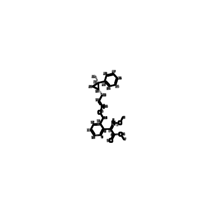 CON=C(C(=O)OC)c1ccccc1CON=CC[C@@H]1C[C@@]1(C)c1ccccc1